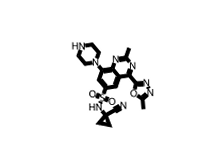 Cc1nc(-c2nnc(C)o2)c2cc(S(=O)(=O)NC3(C#N)CC3)cc(N3CCNCC3)c2n1